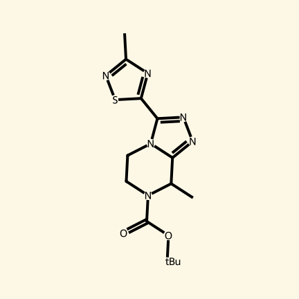 Cc1nsc(-c2nnc3n2CCN(C(=O)OC(C)(C)C)C3C)n1